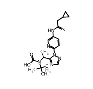 C[C@@H](c1ncnn1-c1ccc(NC(=S)CC2CC2)cn1)N(C(=O)O)C(C)(C)C